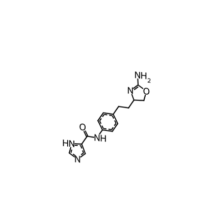 NC1=NC(CCc2ccc(NC(=O)c3cnc[nH]3)cc2)CO1